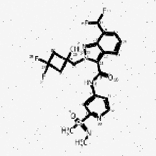 CN=S(C)(=O)c1cc(NC(=O)c2c3cccc(C(F)F)c3nn2CC2(C)CC(F)(F)C2)ccn1